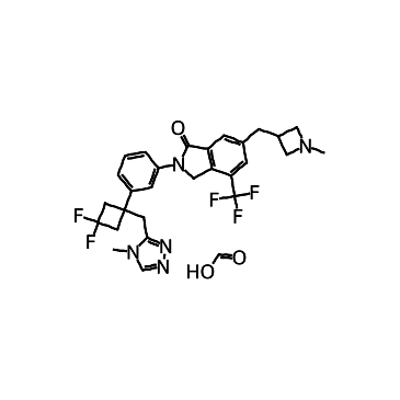 CN1CC(Cc2cc3c(c(C(F)(F)F)c2)CN(c2cccc(C4(Cc5nncn5C)CC(F)(F)C4)c2)C3=O)C1.O=CO